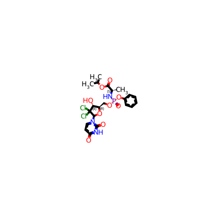 CC(C)OC(=O)[C@H](C)NP(=O)(OC[C@H]1OC(n2ccc(=O)[nH]c2=O)C(Cl)(Cl)[C@@H]1O)Oc1ccccc1